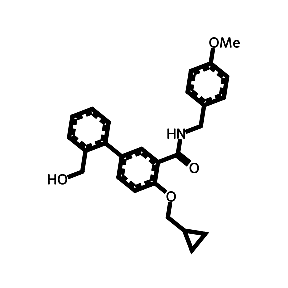 COc1ccc(CNC(=O)c2cc(-c3ccccc3CO)ccc2OCC2CC2)cc1